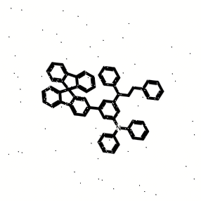 c1ccc(CCC(c2ccccc2)c2cc(-c3ccc4c(c3)C3(c5ccccc5-c5ccccc53)c3ccccc3-4)cc(N(c3ccccc3)c3ccccc3)c2)cc1